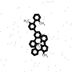 Cc1ccccc1-c1cc(-c2cccc(-c3ccccc3-n3c4ccccc4c4ccc(C)c(-c5ccccc5C)c43)c2)ccc1C